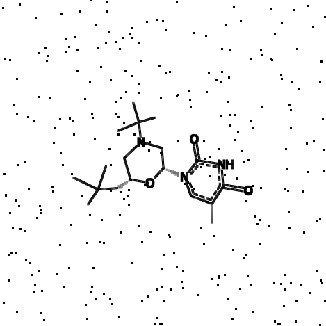 Cc1cn([C@H]2CN(C(C)(C)C)C[C@@H](CC(C)(C)C)O2)c(=O)[nH]c1=O